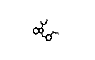 COc1cccc(Cn2cc(C(=O)C=O)c3ccccc32)c1